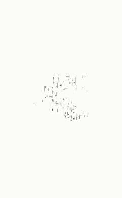 Cc1cnc(Nc2ccc(N3CCCCC3)nc2)nc1Nc1cccc(S(=O)(=O)NC(C)(C)C)c1